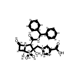 C[C@]1(Cn2cc(C(=O)O)nn2)[C@H](C(=O)OC(c2ccccc2)c2ccccc2)N2C(=O)C[C@@H]2S1(=O)=O